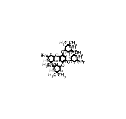 CC(C)C1CC(Oc2cc(OC3CC(C(C)C)NC(C)(C)C3)c(OC3CC(C(C)C)NC(C)(C)C3)cc2OC2CC(C(C)C)NC(C)(C)C2)CC(C)(C)N1